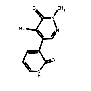 Cn1ncc(-c2ccc[nH]c2=O)c(O)c1=O